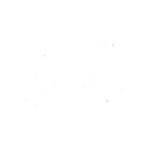 CNCCC(CCCc1cc2c(nc1C(C)C)CCNC2)n1ncc(C(C)C)c1C(C)C=O